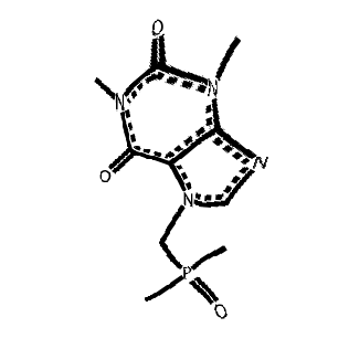 Cn1c(=O)c2c(ncn2CP(C)(C)=O)n(C)c1=O